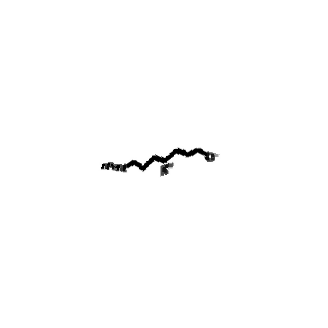 CCCCCCCCCCCC[O-].[K+]